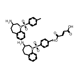 Cc1ccc(S(=O)(=O)N2CC(N)CCc3ccccc32)cc1.Cc1ccc(S(=O)(=O)N2CC(N)CCc3ccccc32)cc1.O=C(O)C=CC(=O)O